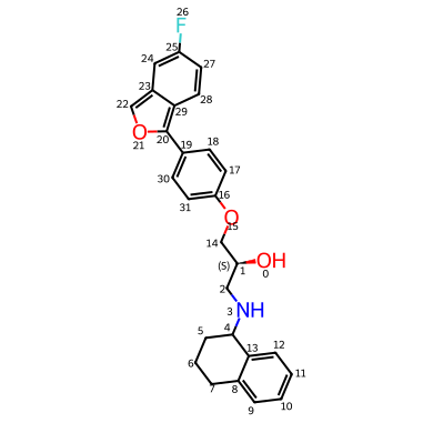 O[C@@H](CNC1CCCc2ccccc21)COc1ccc(-c2occ3cc(F)ccc23)cc1